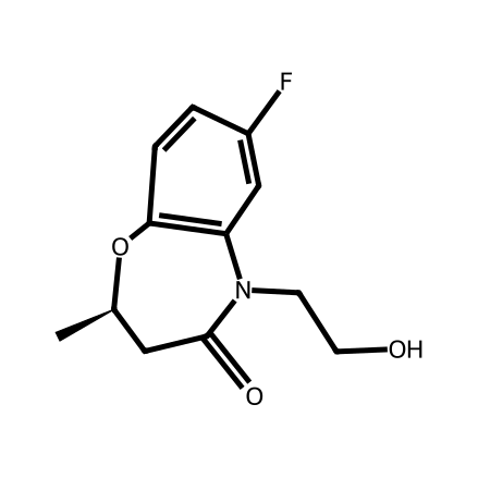 C[C@@H]1CC(=O)N(CCO)c2cc(F)ccc2O1